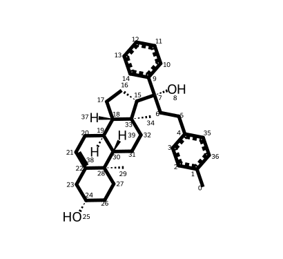 Cc1ccc(CC[C@](O)(c2ccccc2)[C@H]2CC[C@H]3[C@@H]4CC=C5C[C@@H](O)CC[C@]5(C)[C@H]4CC[C@@]32C)cc1